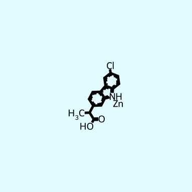 CC(C(=O)O)c1ccc2c(c1)[nH]c1ccc(Cl)cc12.[Zn]